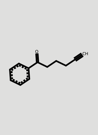 C#CCCCC(=O)c1ccccc1